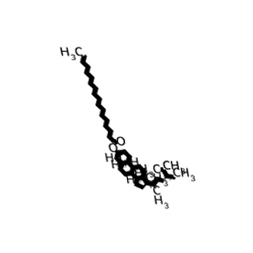 CCCCCCCCCCCCCCCCCC(=O)O[C@H]1CC[C@@]2(C)[C@@H](CC[C@@H]3[C@@H]2CC[C@]2(C)[C@@H]([C@H](C)CC[C@@H](CC)C(C)C)CC[C@@H]32)C1